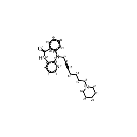 O=C1Nc2cccnc2N(CC#CCCCCN2CCCCC2)c2ccccc21